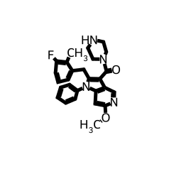 COc1cc2c(cn1)c(C(=O)N1CCNCC1)c(Cc1cccc(F)c1C)n2-c1ccccc1